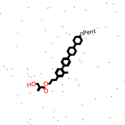 C=C(CO)C(=O)OCCCc1ccc(-c2ccc(C3CCC(C4CCC(CCCCC)CC4)CC3)cc2)c(C)c1